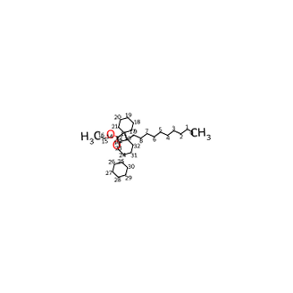 CCCCCCCCCC[C@]1(C2(C(=O)OCC)CCCCC2)CC[C@@H](C2CCCCC2)CC1